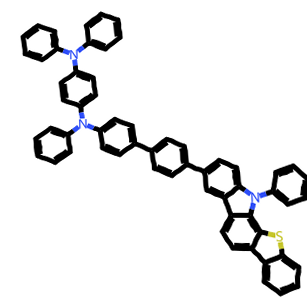 c1ccc(N(c2ccccc2)c2ccc(N(c3ccccc3)c3ccc(-c4ccc(-c5ccc6c(c5)c5ccc7c8ccccc8sc7c5n6-c5ccccc5)cc4)cc3)cc2)cc1